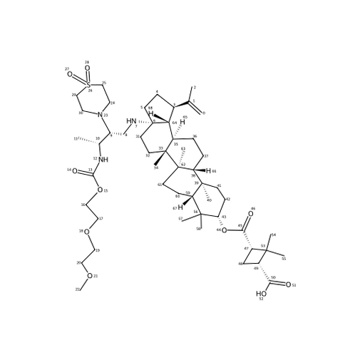 C=C(C)[C@@H]1CC[C@]2(NC[C@H]([C@@H](C)NC(=O)OCCOCCOC)N3CCS(=O)(=O)CC3)CC[C@]3(C)[C@H](CC[C@@H]4[C@@]5(C)CC[C@H](OC(=O)[C@H]6C[C@@H](C(=O)O)C6(C)C)C(C)(C)[C@@H]5CC[C@]43C)[C@@H]12